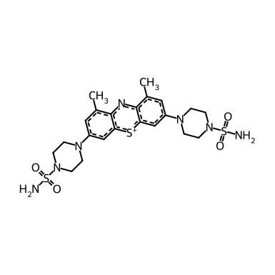 Cc1cc(N2CCN(S(N)(=O)=O)CC2)cc2[s+]c3cc(N4CCN(S(N)(=O)=O)CC4)cc(C)c3nc12